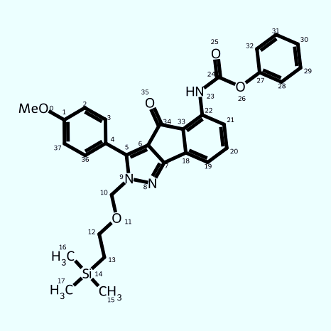 COc1ccc(-c2c3c(nn2COCC[Si](C)(C)C)-c2cccc(NC(=O)Oc4ccccc4)c2C3=O)cc1